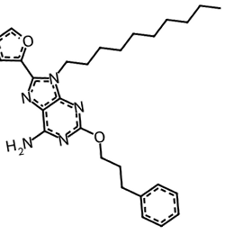 CCCCCCCCCCn1c(-c2ccco2)nc2c(N)nc(OCCCc3ccccc3)nc21